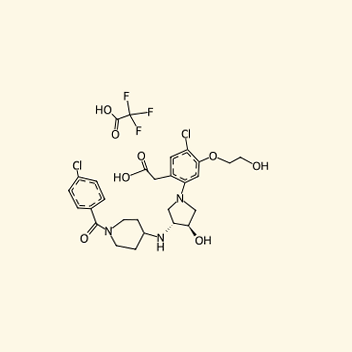 O=C(O)C(F)(F)F.O=C(O)Cc1cc(Cl)c(OCCO)cc1N1C[C@@H](O)[C@H](NC2CCN(C(=O)c3ccc(Cl)cc3)CC2)C1